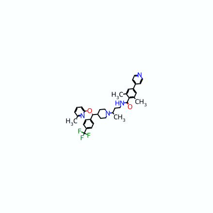 Cc1cccc(O[C@@H](c2ccc(C(F)(F)F)cc2)C2CCN(C(C)CCNC(=O)c3c(C)cc(-c4ccncc4)cc3C)CC2)n1